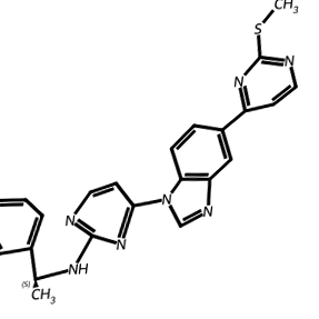 CSc1nccc(-c2ccc3c(c2)ncn3-c2ccnc(N[C@@H](C)c3ccccc3)n2)n1